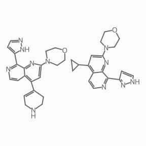 C1=C(c2cc(N3CCOCC3)nc3c(-c4ccn[nH]4)nccc23)CCNC1.c1cc2c(C3CC3)cc(N3CCOCC3)nc2c(-c2cc[nH]n2)n1